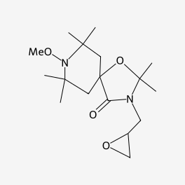 CON1C(C)(C)CC2(CC1(C)C)OC(C)(C)N(CC1CO1)C2=O